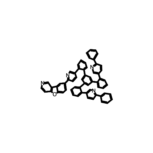 c1ccc(-c2ccc(-c3ccccc3-c3cc(-c4ccccc4-c4ccc(-c5ccccc5)nc4)cc(-c4ccccc4-c4ccc(-c5ccc6oc7ccncc7c6c5)nc4)c3)cn2)cc1